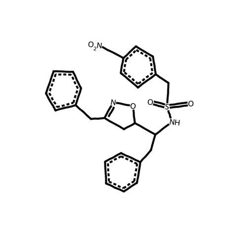 O=[N+]([O-])c1ccc(CS(=O)(=O)NC(Cc2ccccc2)C2CC(Cc3ccccc3)=NO2)cc1